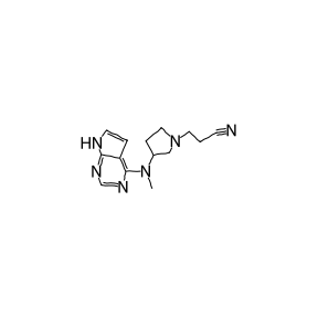 CN(c1ncnc2[nH]ccc12)C1CCN(CCC#N)C1